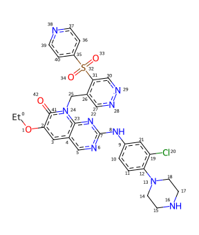 CCOc1cc2cnc(Nc3ccc(N4CCNCC4)c(Cl)c3)nc2n(Cc2cnncc2S(=O)(=O)c2ccncc2)c1=O